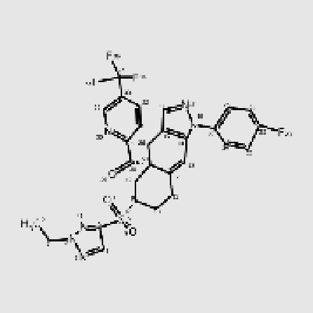 CCn1ncc(S(=O)(=O)[C@H]2CCC3=Cc4c(cnn4-c4ccc(F)cc4)C[C@]3(C(=O)c3ccc(C(F)(F)F)cn3)C2)n1